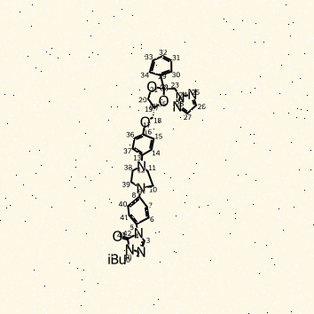 CC[C@@H](C)n1ncn(-c2ccc(N3CCN(c4ccc(OC[C@@H]5CO[C@](Cn6nccn6)(c6ccccc6)O5)cc4)CC3)cc2)c1=O